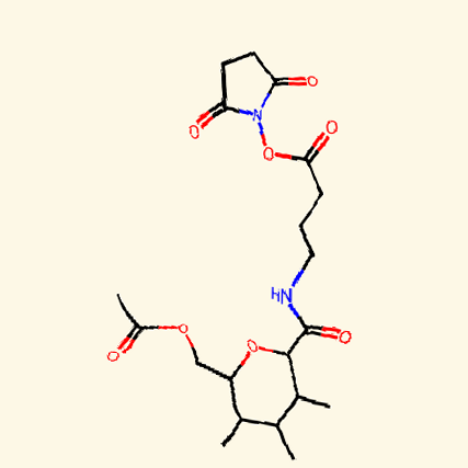 CC(=O)OCC1OC(C(=O)NCCCC(=O)ON2C(=O)CCC2=O)C(C)C(C)C1C